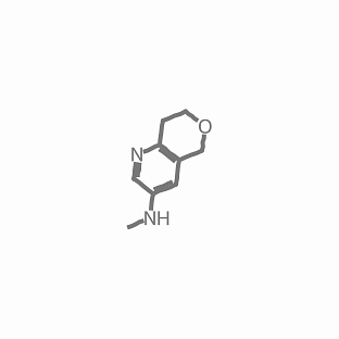 CNc1cnc2c(c1)COCC2